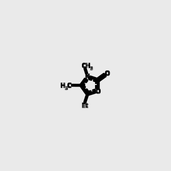 CCc1oc(=O)n(C)c1C